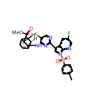 COC(=O)[C@H]1C2CCC(CC2)[C@@H]1Nc1nc(-c2cn(S(=O)(=O)c3ccc(C)cc3)c3ncc(F)cc23)ncc1F